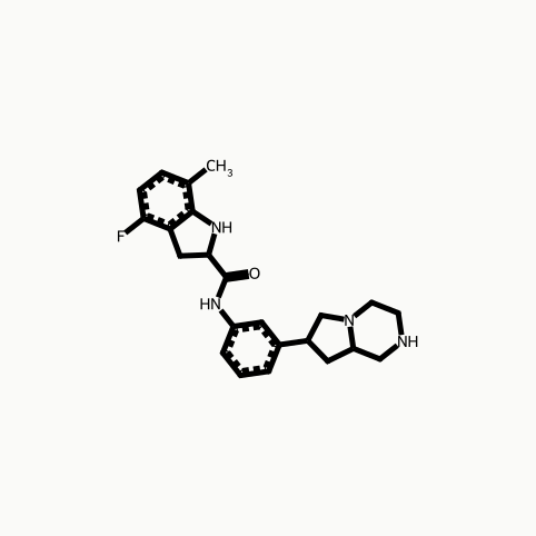 Cc1ccc(F)c2c1NC(C(=O)Nc1cccc(C3CC4CNCCN4C3)c1)C2